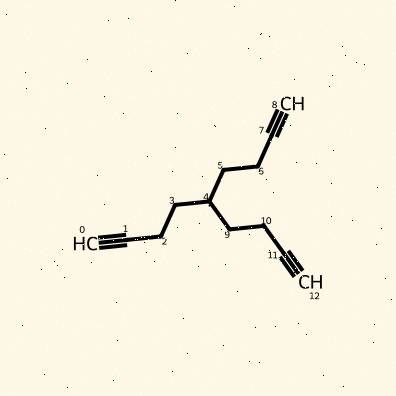 C#CCC[C](CCC#C)CCC#C